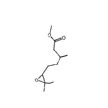 COC(=O)CC(C)CCC1OC1(C)C